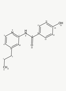 CCCc1ccnc(NC(=O)c2ccc(O)cc2)c1